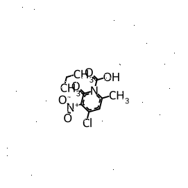 CCC.Cc1cc(Cl)c([N+](=O)[O-])c(=O)n1C(=O)O